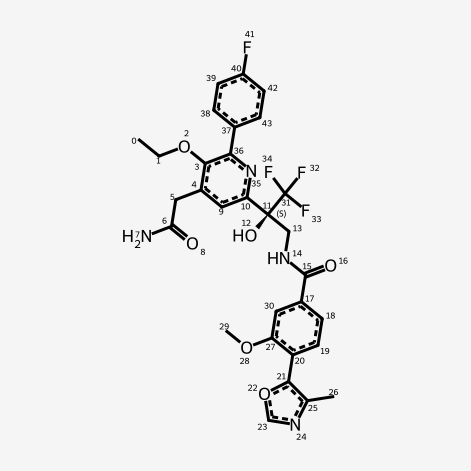 CCOc1c(CC(N)=O)cc([C@@](O)(CNC(=O)c2ccc(-c3ocnc3C)c(OC)c2)C(F)(F)F)nc1-c1ccc(F)cc1